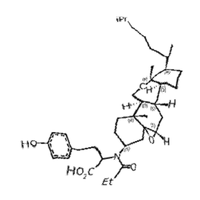 CCC(=O)N(C(Cc1ccc(O)cc1)C(=O)O)[C@H]1CC[C@]2(C)[C@H]3CC[C@]4(C)[C@@H](C(C)CCCC(C)C)CC[C@H]4[C@@H]3C[C@@H]3OC32C1